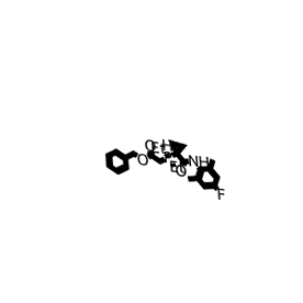 CC[PH](CC)(CC(=O)OCc1ccccc1)C1(C(=O)Nc2c(C)cc(F)cc2C)CC1